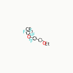 CCOCC1CC=C(c2cc(F)c(C(F)(F)Oc3cc(F)c(C(F)(F)F)c(F)c3)c(F)c2)CC1